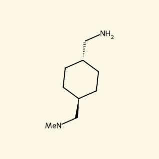 CNC[C@H]1CC[C@H](CN)CC1